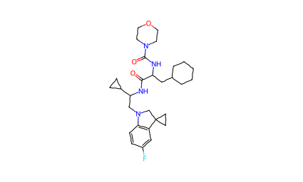 O=C(NC(CN1CC2(CC2)c2cc(F)ccc21)C1CC1)C(CC1CCCCC1)NC(=O)N1CCOCC1